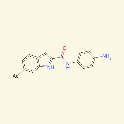 CC(=O)c1ccc2cc(C(=O)Nc3ccc(N)cc3)[nH]c2c1